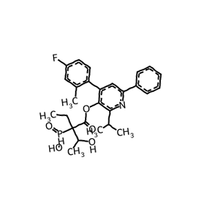 CCC(C(=O)Oc1c(-c2ccc(F)cc2C)cc(-c2ccccc2)nc1C(C)C)(C(C)O)[PH](=O)O